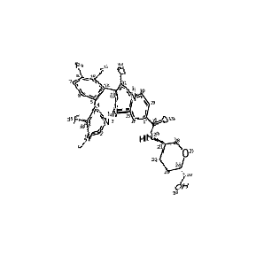 Cn1cnc(-c2ccc(F)c(F)c2-c2nc3cc(C(=O)N[C@@H]4CC[C@@H](CO)OC4)ccn3c2Cl)c1F